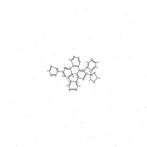 c1ccc(-c2nc(-c3ccccc3)nc(-c3ccccc3-c3ccc4c(c3)C3(CCCC3)c3ccccc3-4)n2)cc1